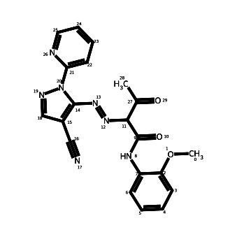 COc1ccccc1NC(=O)C(N=Nc1c(C#N)cnn1-c1ccccn1)C(C)=O